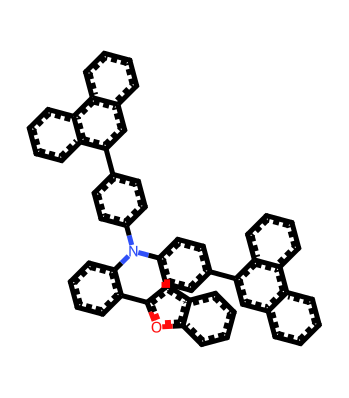 c1ccc(N(c2ccc(-c3cc4ccccc4c4ccccc34)cc2)c2ccc(-c3cc4ccccc4c4ccccc34)cc2)c(-c2cc3ccccc3o2)c1